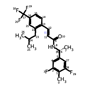 Cc1c(F)cc([C@@H](C)NC(=O)/C=C/c2ccc(C(F)(F)F)cc2CC(C)C)cc1F